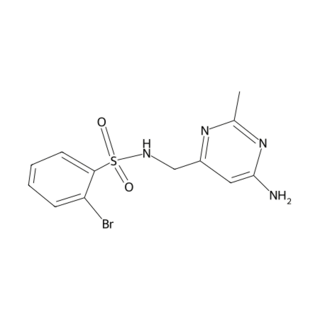 Cc1nc(N)cc(CNS(=O)(=O)c2ccccc2Br)n1